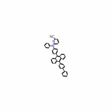 N#Cc1cccc(N(c2ccccc2)c2ccc(-c3c4ccccc4c(-c4ccc(-c5ccccc5)cc4)c4ccccc34)cc2)n1